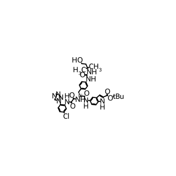 CC(C)(CCO)NC(=O)Nc1ccc(C[C@H](NC(=O)C(=O)Nc2cc(Cl)ccc2-n2cnnn2)C(=O)Nc2ccc3[nH]c(C(=O)OC(C)(C)C)cc3c2)cc1